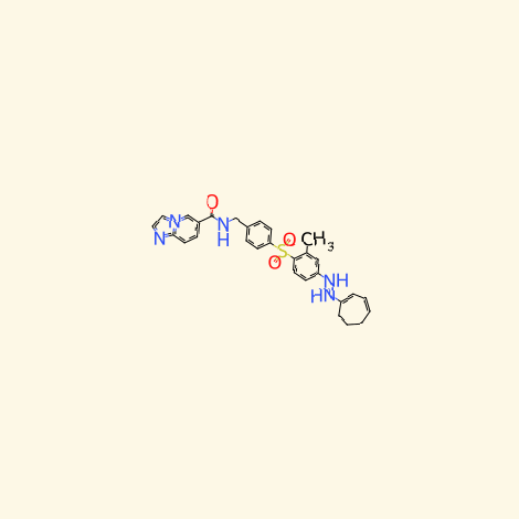 Cc1cc(NNC2=CC=CCCC2)ccc1S(=O)(=O)c1ccc(CNC(=O)c2ccc3nccn3c2)cc1